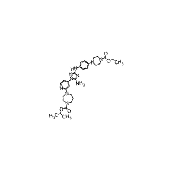 CCOC(=O)N1CCN(c2ccc(Nc3nc(N)n(-c4ccnc(N5CCCN(C(=O)OC(C)C)CC5)c4)n3)cc2)CC1